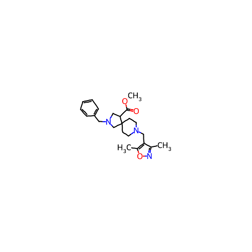 COC(=O)C1CN(Cc2ccccc2)CC12CCN(Cc1c(C)noc1C)CC2